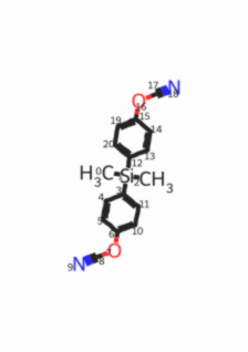 C[Si](C)(c1ccc(OC#N)cc1)c1ccc(OC#N)cc1